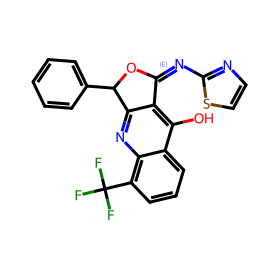 Oc1c2c(nc3c(C(F)(F)F)cccc13)C(c1ccccc1)O/C2=N/c1nccs1